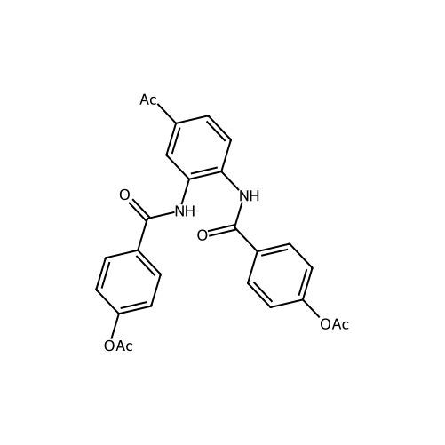 CC(=O)Oc1ccc(C(=O)Nc2ccc(C(C)=O)cc2NC(=O)c2ccc(OC(C)=O)cc2)cc1